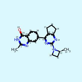 Cc1nc2cc(-c3nc(N4CC[C@@H]4C)nc4c3CCC4)ccc2c(=O)[nH]1